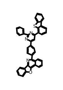 c1ccc(-c2nc(-c3ccc(-c4nc5c6ccccc6oc5c5ccccc45)cc3)cc(-c3cccc4c3sc3ccccc34)n2)cc1